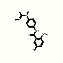 CN=C(C)N(C)c1ccc(NC(=O)c2cc(Cl)ccc2OC)cc1